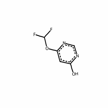 Oc1cc(OC(F)F)ncn1